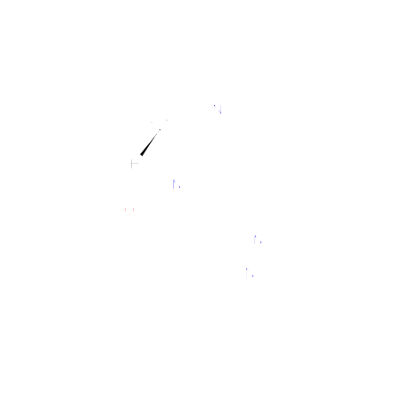 Cn1nc2c3c(cccc31)C(=O)N([C@H]1CN3CCC1CC3)C2